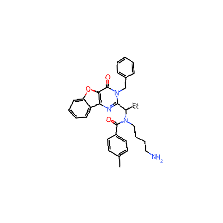 CCC(c1nc2c(oc3ccccc32)c(=O)n1Cc1ccccc1)N(CCCCN)C(=O)c1ccc(C)cc1